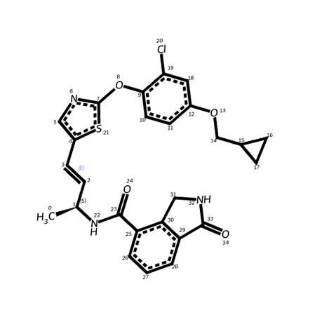 C[C@@H](/C=C/c1cnc(Oc2ccc(OCC3CC3)cc2Cl)s1)NC(=O)c1cccc2c1CNC2=O